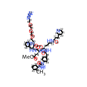 COC(=O)CC[C@H](NC(=O)[C@H](CCCCNC(=O)/C=C/c1cccnc1)NC(=O)Cc1ccc(NC(=O)Nc2ccccc2C)cc1)C(=O)N[C@@H](Cc1ccccc1)C(=O)NCCOCCOCCOCCN=[N+]=[N-]